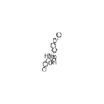 O=C(N[C@@H](Cc1ccc(Cl)cc1)C(=O)O)c1ccc2cc(OCc3ccccc3)ccc2c1